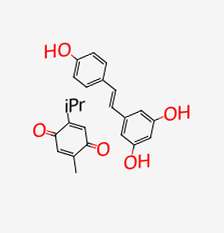 CC1=CC(=O)C(C(C)C)=CC1=O.Oc1ccc(/C=C/c2cc(O)cc(O)c2)cc1